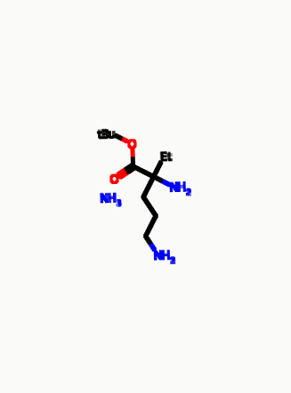 CCC(N)(CCCN)C(=O)OC(C)(C)C.N